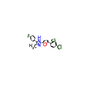 Cc1nc(-c2ccc(-c3ccc(Cl)cc3Cl)o2)[nH]c1-c1ccc(F)cc1